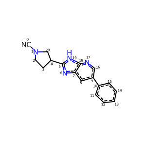 N#CN1CCC(c2nc3cc(-c4ccccc4)cnc3[nH]2)C1